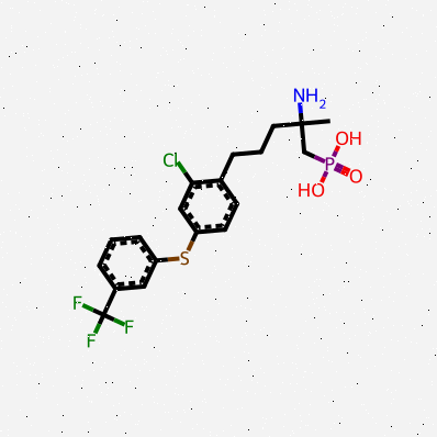 CC(N)(CCCc1ccc(Sc2cccc(C(F)(F)F)c2)cc1Cl)CP(=O)(O)O